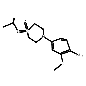 COc1cc(N2CCS(=O)(=NC(C)C)CC2)ccc1N